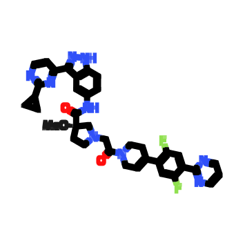 CO[C@@]1(C(=O)Nc2ccc3[nH]nc(-c4ccnc(C5CC5)n4)c3c2)CCN(CC(=O)N2CC=C(c3cc(F)c(-c4ncccn4)cc3F)CC2)C1